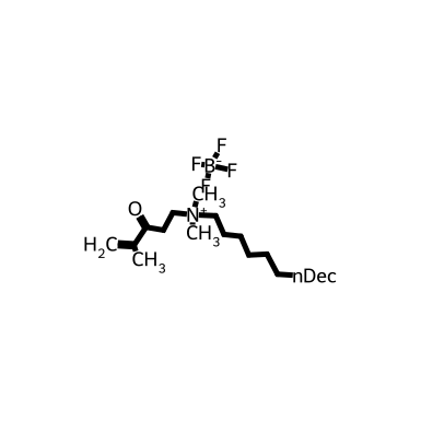 C=C(C)C(=O)CC[N+](C)(C)CCCCCCCCCCCCCCCC.F[B-](F)(F)F